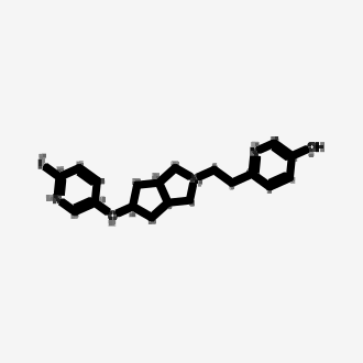 Oc1ccc(CCN2CC3CC(Oc4ccc(F)nc4)CC3C2)nc1